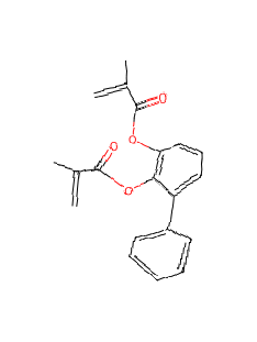 C=C(C)C(=O)Oc1cccc(-c2ccccc2)c1OC(=O)C(=C)C